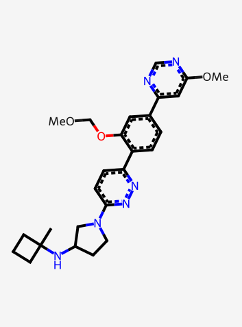 COCOc1cc(-c2cc(OC)ncn2)ccc1-c1ccc(N2CCC(NC3(C)CCC3)C2)nn1